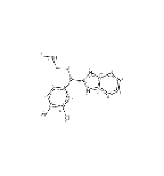 CNCCC(c1ccc(Cl)c(Cl)c1)n1nc2ccccc2n1